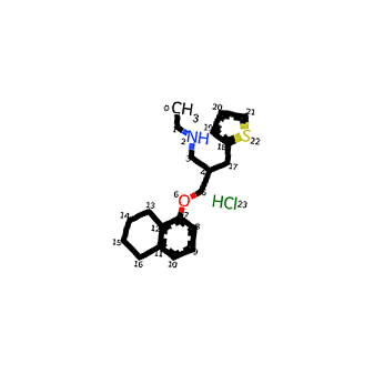 CCNCC(COc1cccc2c1CCCC2)Cc1cccs1.Cl